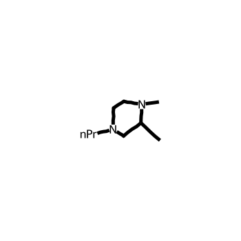 CCCN1CCN(C)C(C)C1